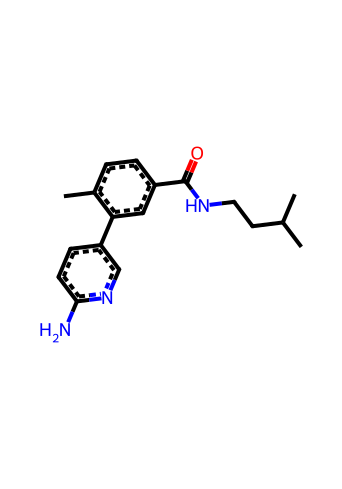 Cc1ccc(C(=O)NCCC(C)C)cc1-c1ccc(N)nc1